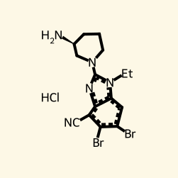 CCn1c(N2CCC[C@H](N)C2)nc2c(C#N)c(Br)c(Br)cc21.Cl